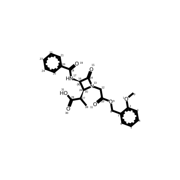 COc1ccccc1COC(=O)CN1C(=O)[C@H](NC(=O)c2ccccc2)[C@@H]1C(C)C(=O)O